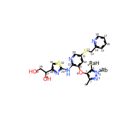 Cc1n[n]([Rb])[c]([RaH])c1Oc1cc(SCc2ccccn2)cnc1Nc1nc(C(O)CO)cs1